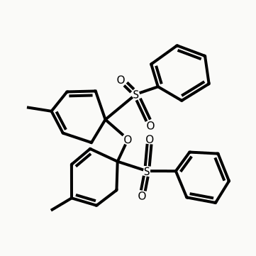 CC1=CCC(OC2(S(=O)(=O)c3ccccc3)C=CC(C)=CC2)(S(=O)(=O)c2ccccc2)C=C1